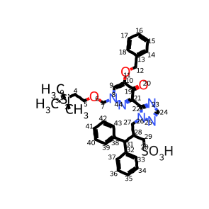 C[Si](C)(C)CCOCn1cc(OCc2ccccc2)c(=O)c(-c2ncnn2CC(CS(=O)(=O)O)C(c2ccccc2)c2ccccc2)n1